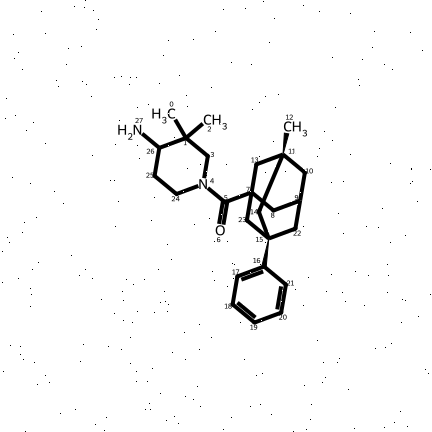 CC1(C)CN(C(=O)C23CC4C[C@@](C)(C2)C[C@](c2ccccc2)(C4)C3)CCC1N